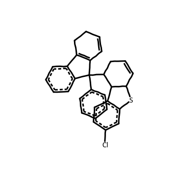 Clc1ccc2c(c1)SC1C=CCC(C3(c4ccccc4)C4=C(CCC=C4)c4ccccc43)C21